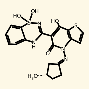 C[C@H]1CCC(=Nn2c(=O)c(C3=NS(O)(O)c4ccccc4N3)c(O)c3sccc32)C1